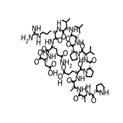 CC(C)C[C@H](NC(=O)[C@@H]1CCCN1C(=O)[C@@H](NC(=O)[C@@H]1CCCN1C(=O)[C@H](CCC(=O)O)NC(=O)[C@H](C)NC(=O)[C@H](C)NC(=O)[C@@H]1CCCN1)C(C)C)C(=O)N[C@H](C(=O)N[C@@H](CCCNC(=N)N)C(=O)N[C@@H](CCC(N)=O)C(=O)N[C@@H](CC(=O)O)C(=O)O)C(C)C